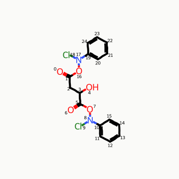 O=C(CC(O)C(=O)ON(Cl)c1ccccc1)ON(Cl)c1ccccc1